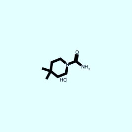 CC1(C)CCN(C(N)=O)CC1.Cl